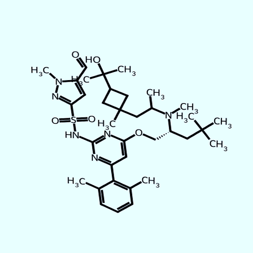 Cc1cccc(C)c1-c1cc(OC[C@@H](CC(C)(C)C)N(C)C(C)CC2(C)CC(C(C)(C)O)C2)nc(NS(=O)(=O)c2cc(C=O)n(C)n2)n1